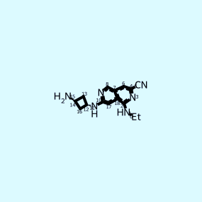 CCNc1nc(C#N)cc2cnc(N[C@H]3C[C@H](N)C3)cc12